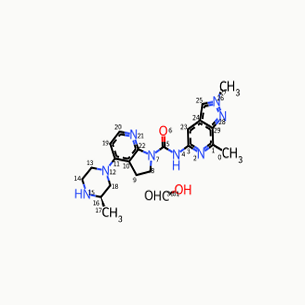 Cc1nc(NC(=O)N2CCc3c(N4CCN[C@H](C)C4)ccnc32)cc2cn(C)nc12.O=CO